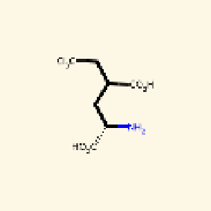 N[C@@H](CC(CC(Cl)(Cl)Cl)C(=O)O)C(=O)O